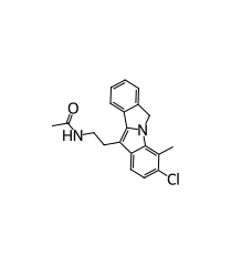 CC(=O)NCCc1c2n(c3c(C)c(Cl)ccc13)Cc1ccccc1-2